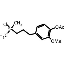 COc1cc(CCC[Si](C)(C)Cl)ccc1OC(C)=O